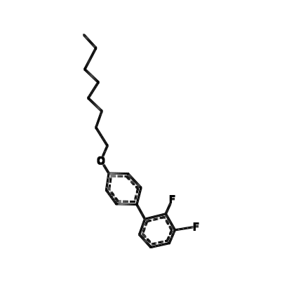 CCCCCCCCOc1ccc(-c2cccc(F)c2F)cc1